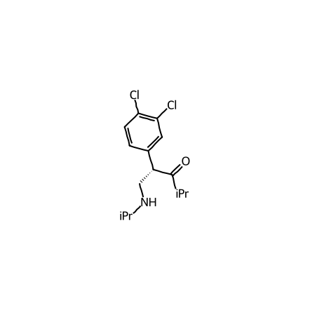 CC(C)NC[C@@H](C(=O)C(C)C)c1ccc(Cl)c(Cl)c1